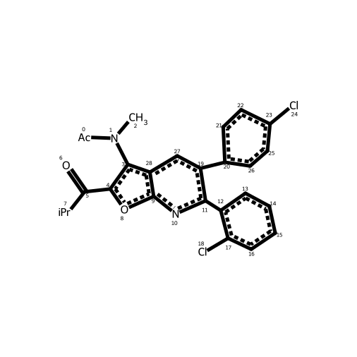 CC(=O)N(C)c1c(C(=O)C(C)C)oc2nc(-c3ccccc3Cl)c(-c3ccc(Cl)cc3)cc12